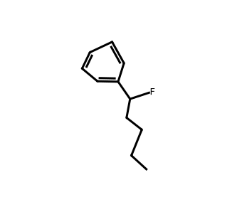 CCCCC(F)c1ccccc1